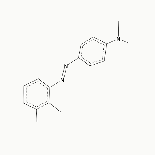 Cc1cccc(N=Nc2ccc(N(C)C)cc2)c1C